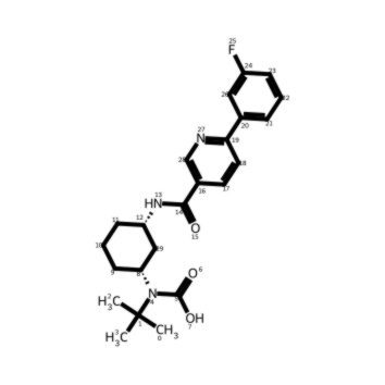 CC(C)(C)N(C(=O)O)[C@@H]1CCC[C@H](NC(=O)c2ccc(-c3cccc(F)c3)nc2)C1